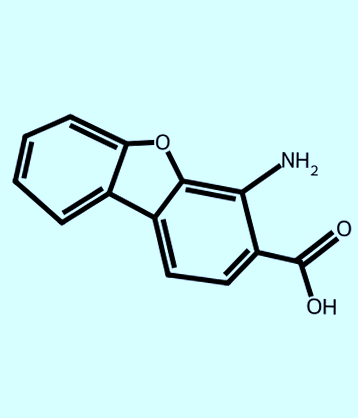 Nc1c(C(=O)O)ccc2c1oc1ccccc12